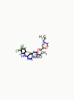 C=CCN1CCOC(COC(=C/c2cc(Nc3ccc(Cl)c(Cl)c3)ncn2)/C(=C\C)OC)C1